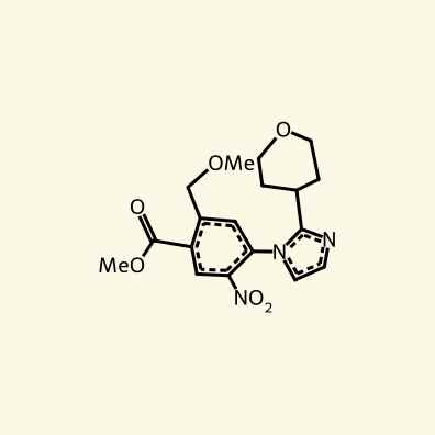 COCc1cc(-n2ccnc2C2CCOCC2)c([N+](=O)[O-])cc1C(=O)OC